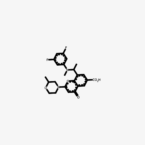 CC1CN(c2cc(=O)c3cc(C(=O)O)cc(C(C)N(C)c4cc(F)cc(F)c4)c3o2)CCO1